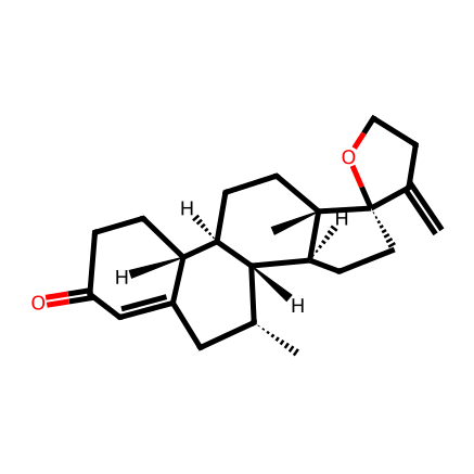 C=C1CCO[C@@]12CC[C@H]1[C@H]3[C@H](CC[C@@]12C)[C@H]1CCC(=O)C=C1C[C@H]3C